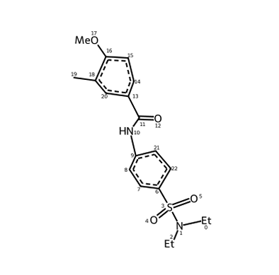 CCN(CC)S(=O)(=O)c1ccc(NC(=O)c2ccc(OC)c(C)c2)cc1